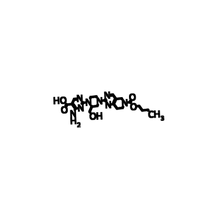 CCCCOC(=O)N1CCc2nc(N3CCN(c4ncc(C(=O)O)c(N)n4)C(CO)C3)ncc2C1